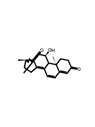 C[C@]12CCC(=O)[C@]13C[C@@H](O)C1C(=C3CC2)C=CC2=CC(=O)CC[C@@]21C